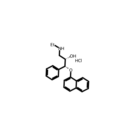 CCNC[C@H](O)[C@H](Oc1cccc2ccccc12)c1ccccc1.Cl